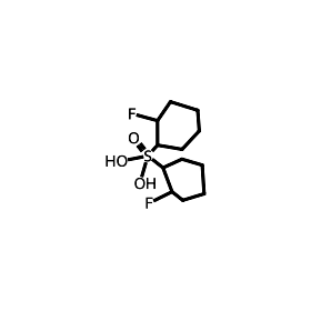 O=S(O)(O)(C1CCCCC1F)C1CCCCC1F